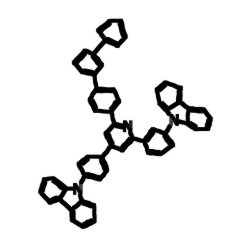 c1ccc(-c2cccc(-c3ccc(-c4cc(-c5ccc(-n6c7ccccc7c7ccccc76)cc5)cc(-c5cccc(-n6c7ccccc7c7ccccc76)c5)n4)cc3)c2)cc1